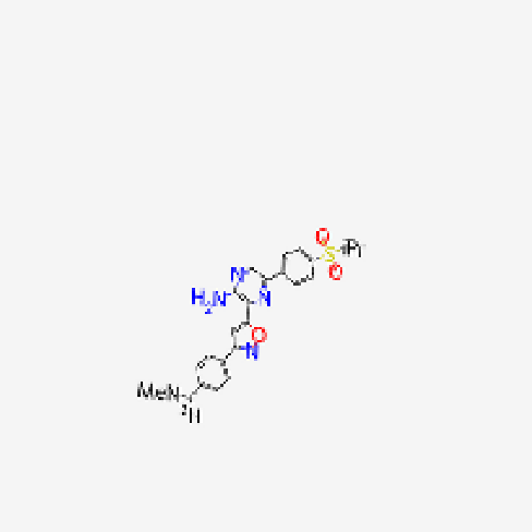 [2H]C(NC)c1ccc(-c2cc(-c3nc(-c4ccc(S(=O)(=O)C(C)C)cc4)cnc3N)on2)cc1